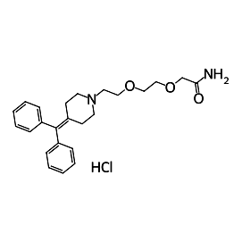 Cl.NC(=O)COCCOCCN1CCC(=C(c2ccccc2)c2ccccc2)CC1